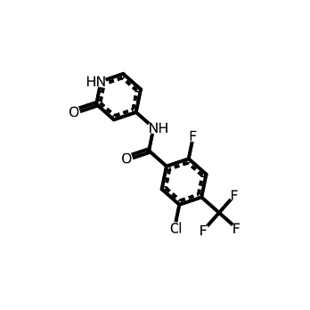 O=C(Nc1cc[nH]c(=O)c1)c1cc(Cl)c(C(F)(F)F)cc1F